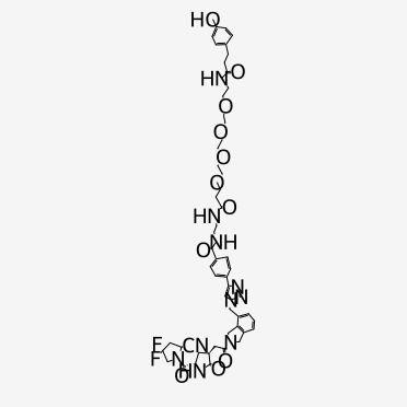 N#C[C@@H]1CC(F)(F)CN1C(=O)[C@@H]1C[C@@H](CC(=O)N2Cc3cccc(Cn4cc(-c5ccc(C(=O)NCCNC(=O)CCOCCOCCOCCOCCNC(=O)CCc6ccc(O)cc6)cc5)nn4)c3C2)C(=O)N1